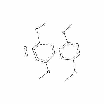 C=O.COc1ccc(OC)cc1.COc1ccc(OC)cc1